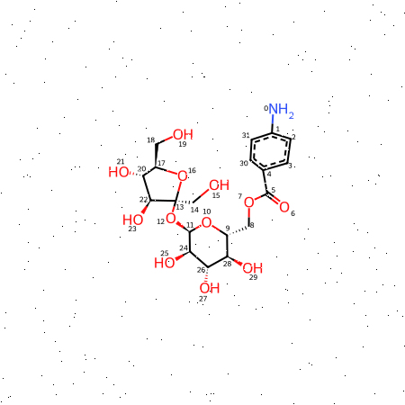 Nc1ccc(C(=O)OC[C@H]2O[C@H](O[C@]3(CO)O[C@H](CO)[C@@H](O)[C@@H]3O)[C@H](O)[C@@H](O)[C@@H]2O)cc1